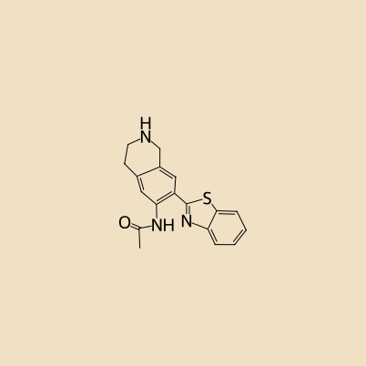 CC(=O)Nc1cc2c(cc1-c1nc3ccccc3s1)CNCC2